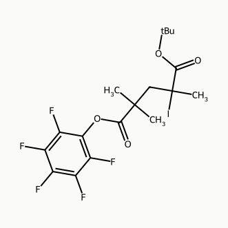 CC(C)(C)OC(=O)C(C)(I)CC(C)(C)C(=O)Oc1c(F)c(F)c(F)c(F)c1F